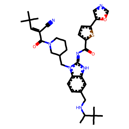 CC(NCc1ccc2c(c1)[nH]c(=NC(=O)c1ccc(-c3cnco3)s1)n2CC1CCCN(C(=O)C(C#N)=CC(C)(C)C)C1)C(C)(C)C